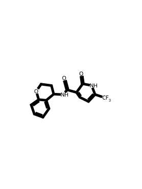 O=C(NC1CCOc2ccccc21)c1ccc(C(F)(F)F)[nH]c1=O